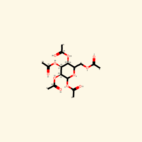 CC(=O)OCC1OC(OC(C)=O)[C@@H](OC(C)=O)[C@@H](OC(C)=O)[C@H]1OC(C)=O